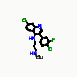 CC(C)(C)NCCCNc1c(-c2ccc(Cl)c(F)c2)cnc2cc(Cl)ccc12